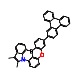 Cc1c(C)n2c3c(cccc13)B1c3ccc(-c4ccc5c6ccccc6c6ccccc6c5c4)cc3Oc3cccc-2c31